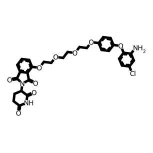 Nc1cc(Cl)ccc1Oc1ccc(OCCOCCOCCOc2cccc3c2C(=O)N(C2CCC(=O)NC2=O)C3=O)cc1